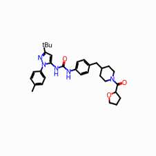 Cc1ccc(-n2nc(C(C)(C)C)cc2NC(=O)Nc2ccc(CC3CCN(C(=O)C4CCCO4)CC3)cc2)cc1